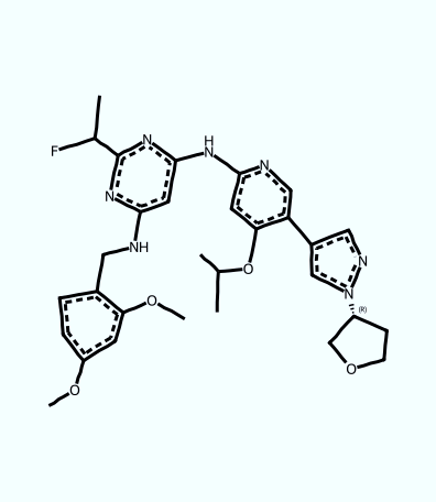 COc1ccc(CNc2cc(Nc3cc(OC(C)C)c(-c4cnn([C@@H]5CCOC5)c4)cn3)nc(C(C)F)n2)c(OC)c1